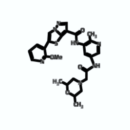 COc1ncccc1-c1cn2ncc(C(=O)Nc3cc(NC(=O)CN4CC(C)OC(C)C4)cnc3C)c2s1